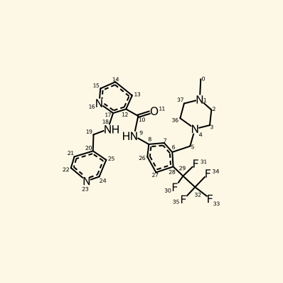 CN1CCN(Cc2cc(NC(=O)c3cccnc3NCc3ccncc3)ccc2C(F)(F)C(F)(F)F)CC1